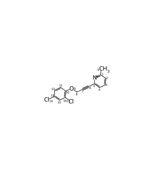 Cc1cccc(C#CCOc2ccc(Cl)cc2Cl)n1